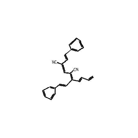 C=CC=CC(C=Cc1ccccc1)=C(C#N)C=C(C#N)C=Cc1ccccc1